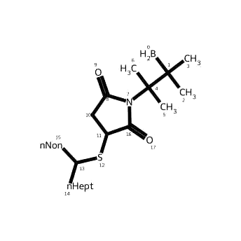 BC(C)(C)C(C)(C)N1C(=O)CC(SC(CCCCCCC)CCCCCCCCC)C1=O